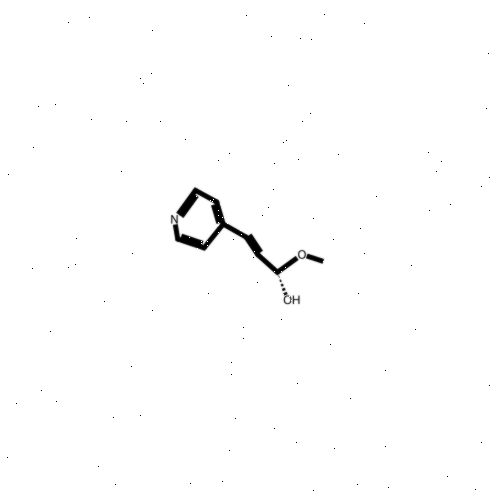 CO[C@H](O)/C=C/c1ccncc1